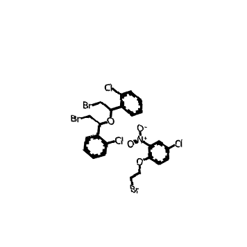 Clc1ccccc1C(CBr)OC(CBr)c1ccccc1Cl.O=[N+]([O-])c1cc(Cl)ccc1OCCBr